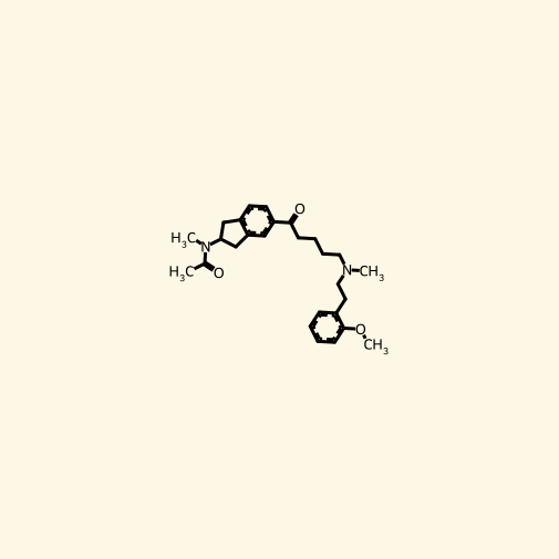 COc1ccccc1CCN(C)CCCCC(=O)c1ccc2c(c1)CC(N(C)C(C)=O)C2